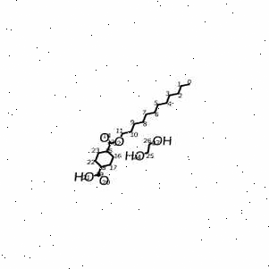 CCCCCCCCCCCCOC(=O)C1CCC(C(=O)O)CC1.OCCO